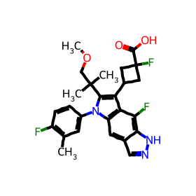 COCC(C)(C)c1c(C2CC(F)(C(=O)O)C2)c2c(F)c3[nH]ncc3cc2n1-c1ccc(F)c(C)c1